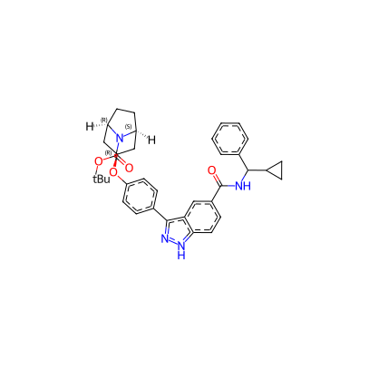 CC(C)(C)OC(=O)N1[C@@H]2CC[C@H]1C[C@@H](Oc1ccc(-c3n[nH]c4ccc(C(=O)NC(c5ccccc5)C5CC5)cc34)cc1)C2